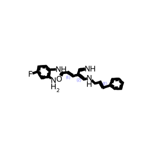 N=CC(=C\NC/C=C/c1ccccc1)/C=C/C(=O)Nc1ccc(F)cc1N